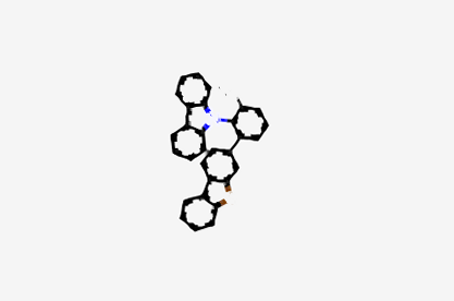 N#Cc1cccc(-c2ccc3c(c2)sc2ccccc23)c1-n1c2ccccc2c2ccccc21